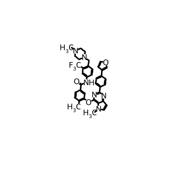 Cc1ccc(C(=O)Nc2ccc(CN3CCN(C)CC3)c(C(F)(F)F)c2)cc1Oc1nc(-c2ccc(-c3ccoc3)cc2)nc2ccn(C)c12